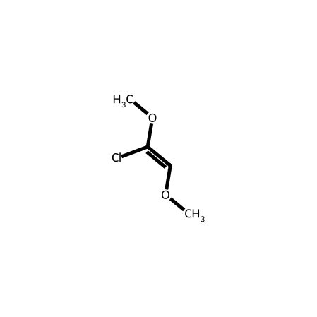 COC=C(Cl)OC